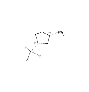 N[C@H]1CC[C@@H](C(F)(F)F)C1